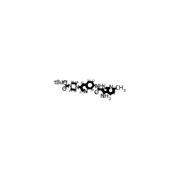 Cc1ccc2c(N)c(C(=O)N[C@H]3CCc4cc(N5CCN(C(=O)OC(C)(C)C)CC5)cnc4C3)sc2n1